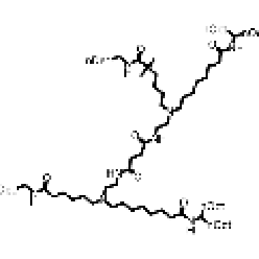 CCCCCCCCCCCNC(=O)CCCCCN(CCCCCCCC(=O)NC(CCCCCCCC)CCCCCCCC)CCNC(=O)CCC(=O)NCCN(CCCCCCCC(=O)NC(CCCCCCCC)CCCCCCCC)CCCCC(C)(C)C(=O)NCCCCCCCCCCC